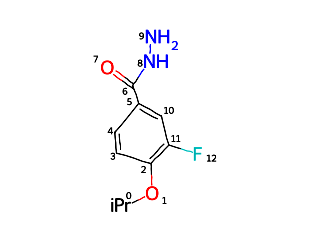 CC(C)Oc1ccc(C(=O)NN)cc1F